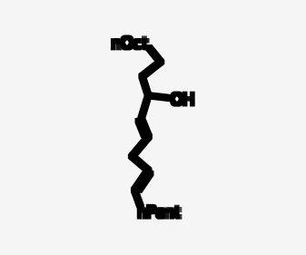 CCCCCC=CCC=CC(O)CCCCCCCCCC